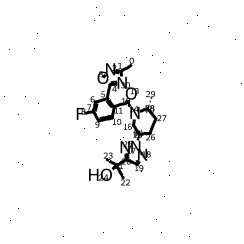 Cc1noc(-c2cc(F)ccc2C(=O)N2C[C@H](n3ncc(C(C)(C)O)n3)CC[C@H]2C)n1